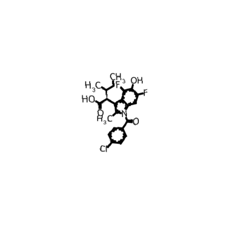 CCC(C)[C@H](C(=O)O)c1c(C)n(C(=O)c2ccc(Cl)cc2)c2cc(F)c(O)c(F)c12